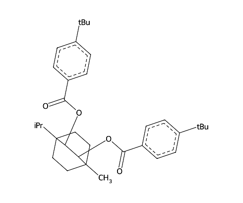 CC(C)C12CCC(C)(CC1)C(OC(=O)c1ccc(C(C)(C)C)cc1)C2OC(=O)c1ccc(C(C)(C)C)cc1